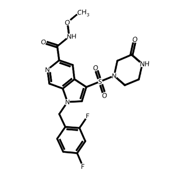 CONC(=O)c1cc2c(S(=O)(=O)N3CCNC(=O)C3)cn(Cc3ccc(F)cc3F)c2cn1